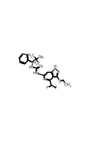 CCOc1n[nH]c2cc(NC(=O)N[C@@H](c3ccccc3)C(C)(C)O)nc(C(F)F)c12